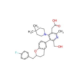 Cc1nc(CO)c(-c2ccc3c(c2)CCC(Cc2ccc(F)cc2)O3)c(N2CCC(C)(C)CC2)c1CC(=O)O